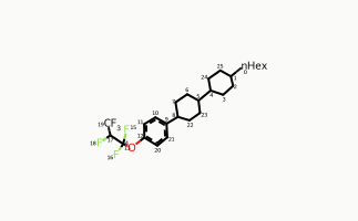 CCCCCCC1CCC(C2CCC(c3ccc(OC(F)(F)C(F)C(F)(F)F)cc3)CC2)CC1